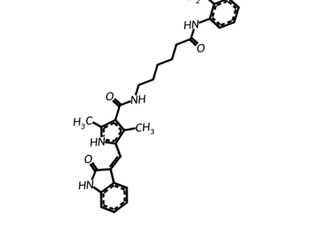 Cc1[nH]c(/C=C2\C(=O)Nc3ccccc32)c(C)c1C(=O)NCCCCCC(=O)Nc1ccccc1N